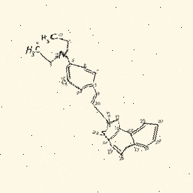 CCN(CC)c1ccc(C=CN2Cc3c(ccc4ccccc34)S2)cc1